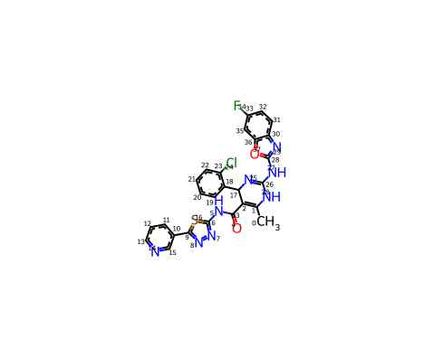 CC1=C(C(=O)Nc2nnc(-c3cccnc3)s2)C(c2ccccc2Cl)N=C(Nc2nc3ccc(F)cc3o2)N1